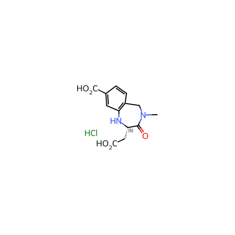 CN1Cc2ccc(C(=O)O)cc2N[C@@H](CC(=O)O)C1=O.Cl